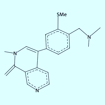 C=C1c2cnccc2C(c2ccc(CN(C)C)c(SC)c2)=CN1C